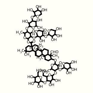 CC1OC(OC2C(C)OC(OC(=O)C34CCC(C)(C)CC3C3=CCC5C6(C)CCC(OC7OC(C(=O)O)C(OC8OC(CO)C(OC9OC(CO)C(O)C(O)C9O)C(O)C8O)C(OC8OCC(O)C(O)C8O)C7O)C(C)(C=O)C6CCC5(C)C3(C)CC4)C(OC3OCC(O)C(OC4OCC(O)C(O)C4O)C3O)C2O)C(O)C(OC2OCC(O)C(O)C2O)C1O